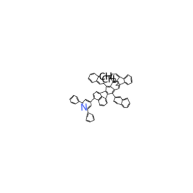 C=C(/C=c1/ccccc1=C)c1c2c(cc3c4ccccc4c4cccc2c43)c(-c2ccc3ccccc3c2)c2c3cccc4c(-c5cc(-c6ccccc6)nc(-c6ccccc6)c5)ccc(c12)c43